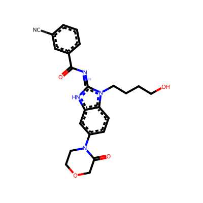 N#Cc1cccc(C(=O)/N=c2\[nH]c3cc(N4CCOCC4=O)ccc3n2CCCCO)c1